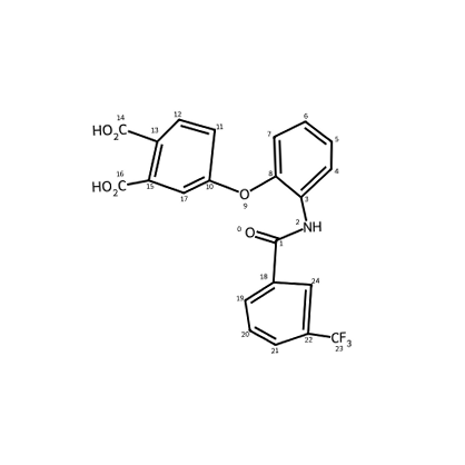 O=C(Nc1ccccc1Oc1ccc(C(=O)O)c(C(=O)O)c1)c1cccc(C(F)(F)F)c1